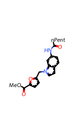 CCCCCC(=O)Nc1ccc2ccn(Cc3ccc(C(=O)OC)o3)c2c1